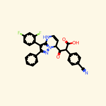 N#Cc1ccc(C(C(=O)O)C(=O)C2C=CNc3c(-c4ccc(F)cc4F)c(-c4ccccc4)nn32)cc1